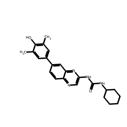 Cc1cc(-c2ccc3ncc(NC(=O)NC4CCCCC4)nc3c2)cc(C)c1O